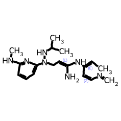 C=N/C=C\C(=C/C)N/C(N)=C/CN(NC(C)C)c1cccc(NC)n1